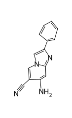 N#Cc1cn2cc(-c3ccccc3)nc2cc1N